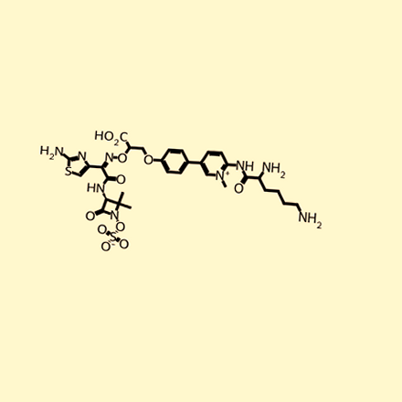 C[n+]1cc(-c2ccc(OCC(O/N=C(\C(=O)N[C@@H]3C(=O)N(OS(=O)(=O)[O-])C3(C)C)c3csc(N)n3)C(=O)O)cc2)ccc1NC(=O)C(N)CCCCN